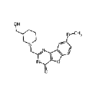 CBc1ccc2oc3c(=O)[nH]c(CN4CCCC(CO)C4)nc3c2c1